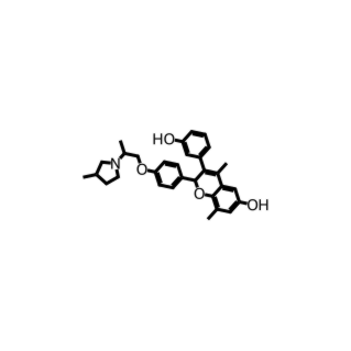 CC1=C(c2cccc(O)c2)C(c2ccc(OCC(C)N3CCC(C)C3)cc2)Oc2c(C)cc(O)cc21